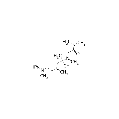 CC(C)N(C)CCN(C)CC(C)(C)N(C)CC(=O)N(C)C